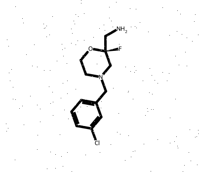 NC[C@]1(F)CN(Cc2cccc(Cl)c2)CCO1